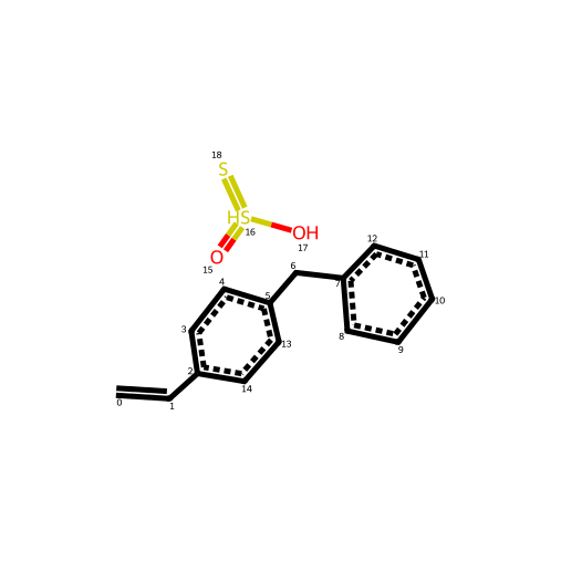 C=Cc1ccc(Cc2ccccc2)cc1.O=[SH](O)=S